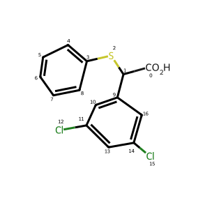 O=C(O)C(Sc1ccccc1)c1cc(Cl)cc(Cl)c1